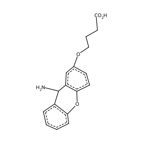 NC1c2ccccc2Oc2ccc(OCCCC(=O)O)cc21